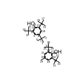 CC(C)(C)c1cc(C(C)(C)C)c(O)c(C(C)(C)C)c1.Cc1cc(C(C)(C)C)c(O)c(C(C)(C)C)c1